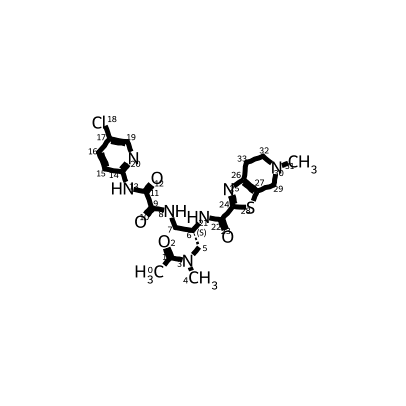 CC(=O)N(C)C[C@H](CNC(=O)C(=O)Nc1ccc(Cl)cn1)NC(=O)c1nc2c(s1)CN(C)CC2